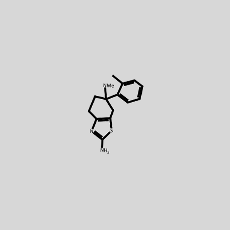 CNC1(c2ccccc2C)CCc2nc(N)sc2C1